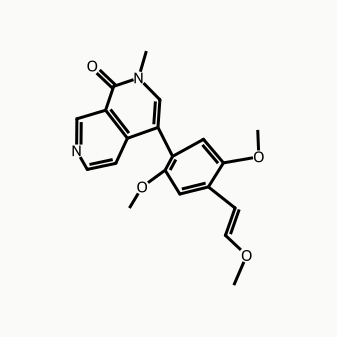 COC=Cc1cc(OC)c(-c2cn(C)c(=O)c3cnccc23)cc1OC